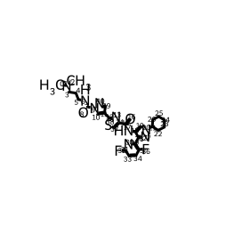 CN(C)CCCNC(=O)n1cc(-c2nc(C(=O)Nc3cn(C4CCCCC4)nc3-c3nc(F)ccc3F)cs2)cn1